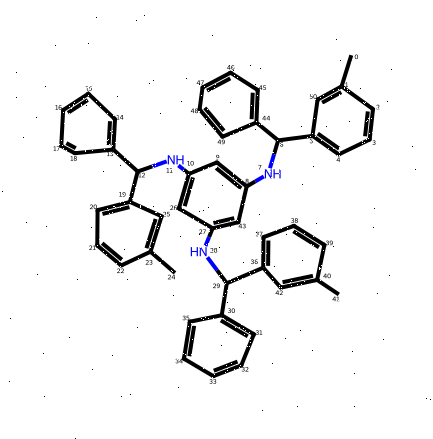 Cc1cccc(C(Nc2cc(NC(c3ccccc3)c3cccc(C)c3)cc(NC(c3ccccc3)c3cccc(C)c3)c2)c2ccccc2)c1